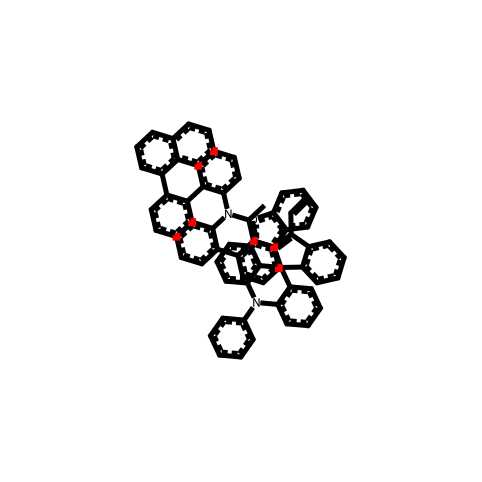 C=CC1=C(/C=C(\C)N(c2ccccc2-c2ccccc2-c2cccc3ccccc23)c2ccccc2-c2cccc3c2oc2ccccc23)C2(c3ccccc31)c1ccccc1N(c1ccccc1)c1ccccc12